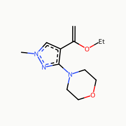 C=C(OCC)c1cn(C)nc1N1CCOCC1